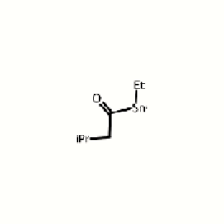 C[CH2][Sn][C](=O)CC(C)C